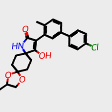 Cc1ccc(-c2ccc(Cl)cc2)cc1C1=C(O)C2(CCC3(CC2)OCC(C)O3)NC1=O